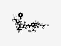 CCCC[C@H](NC(=O)/C=C(\C)c1ccc(C(F)(F)P(=O)(OCOC(=O)C(C)(C)C)OCOC(=O)C(C)(C)C)cc1)C(=O)N1C[C@H]2C[C@H]2C1C(=O)NC(CCC(N)=O)C(=O)NCc1ccccc1